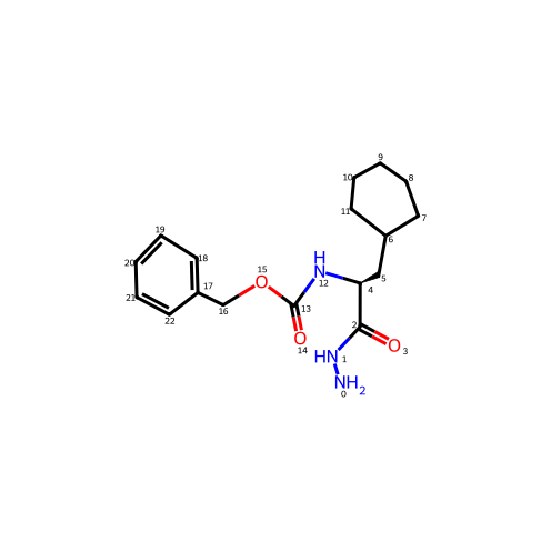 NNC(=O)[C@H](CC1CCCCC1)NC(=O)OCc1ccccc1